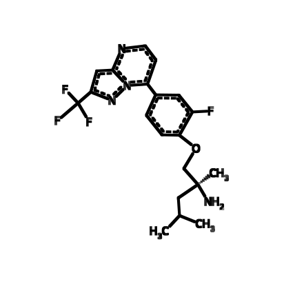 CC(C)C[C@](C)(N)COc1ccc(-c2ccnc3cc(C(F)(F)F)nn23)cc1F